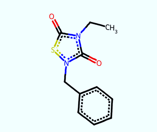 CCn1c(=O)sn(Cc2ccccc2)c1=O